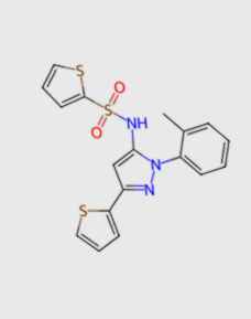 Cc1ccccc1-n1nc(-c2cccs2)cc1NS(=O)(=O)c1cccs1